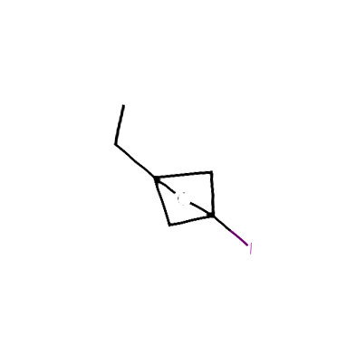 CCC12CC(I)(C1)C2